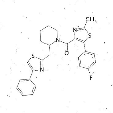 Cc1nc(C(=O)N2CCCCC2Cc2nc(-c3ccccc3)cs2)c(-c2ccc(F)cc2)s1